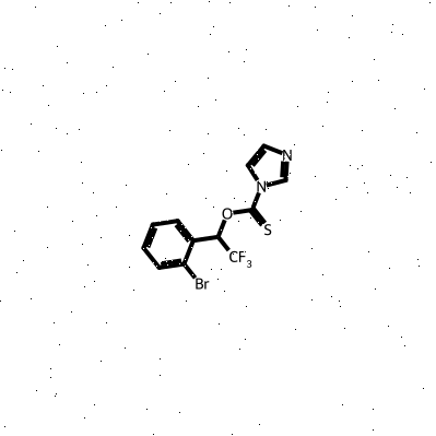 FC(F)(F)C(OC(=S)n1ccnc1)c1ccccc1Br